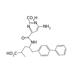 CC(CC(Cc1ccc(-c2ccccc2)cc1)NC(=O)c1cc(N)nc(C(=O)O)n1)C(=O)O